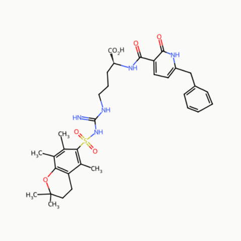 Cc1c(C)c(S(=O)(=O)NC(=N)NCCC[C@H](NC(=O)c2ccc(Cc3ccccc3)[nH]c2=O)C(=O)O)c(C)c2c1OC(C)(C)CC2